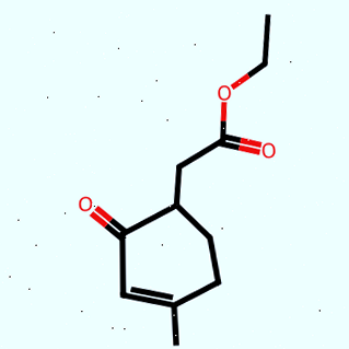 CCOC(=O)CC1CCC(C)=CC1=O